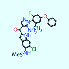 CSNc1cc2cc(C(=O)c3cnn(-c4c(C)cc(Oc5ccccc5)cc4F)c3N)[nH]c2cc1Cl